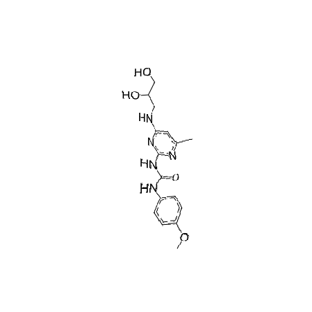 COc1ccc(NC(=O)Nc2nc(C)cc(NCC(O)CO)n2)cc1